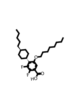 CCCCCCCCOc1cc(C(=O)O)c(F)c(F)c1[C@H]1CC[C@H](CCCCC)CC1